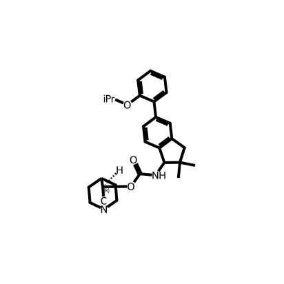 CC(C)Oc1ccccc1-c1ccc2c(c1)CC(C)(C)C2NC(=O)O[C@H]1CN2CCC1CC2